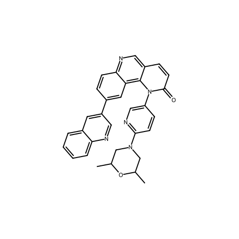 CC1CN(c2ccc(-n3c(=O)ccc4cnc5ccc(-c6cnc7ccccc7c6)cc5c43)cn2)CC(C)O1